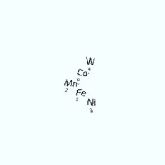 [Co].[Fe].[Mn].[Ni].[W]